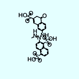 CNN(Nc1ccc2c(c1)C=C(S(=O)(=O)O)CC2=O)c1ccc2c(S(=O)(=O)O)cccc2c1S(=O)(=O)O